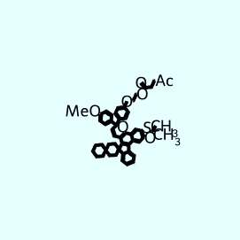 COc1ccc(C2(c3ccc(OCCOC(=O)CCC(C)=O)cc3)C=Cc3c4c(c5cc6c(cc5c3O2)SC(C)(C)O6)-c2ccccc2C42CCC3(CCCCC3)CC2)cc1